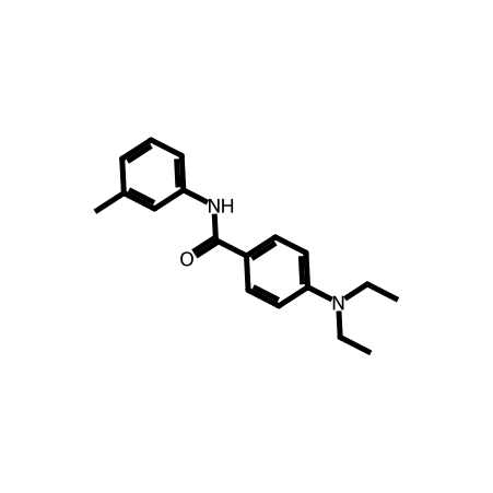 CCN(CC)c1ccc(C(=O)Nc2cccc(C)c2)cc1